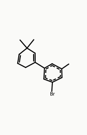 Cc1cc(Br)cc(C2=CC(C)(C)C=CC2)c1